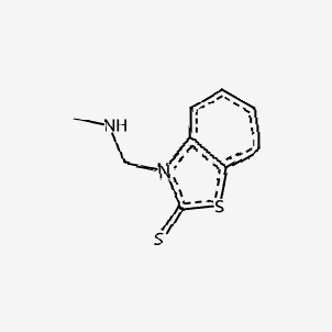 CNCn1c(=S)sc2ccccc21